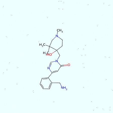 CN1CCC(O)(Cn2cnc(-c3ccccc3CN)cc2=O)C(C)(C)C1